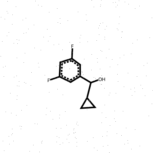 OC(c1cc(F)cc(F)c1)C1CC1